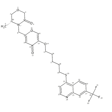 C[C@@H]1COCC(=O)N1Cc1cc(=O)c(OCCCCCSc2ccnc3cc(C(F)(F)F)ccc23)co1